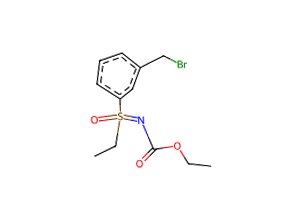 CCOC(=O)N=S(=O)(CC)c1cccc(CBr)c1